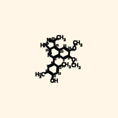 COc1cc2c(-c3cc(C)c(O)cc3C)nc3[nH]nc(C)c3c2cc1OC